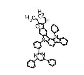 C=Cc1oc2cc3c(cc2c1/C=C\C)c1c(ccc2c4ccccc4n(-c4ccccc4)c21)n3-c1cccc(-c2nc(-c3ccccc3)cc(-c3ccccc3)n2)c1